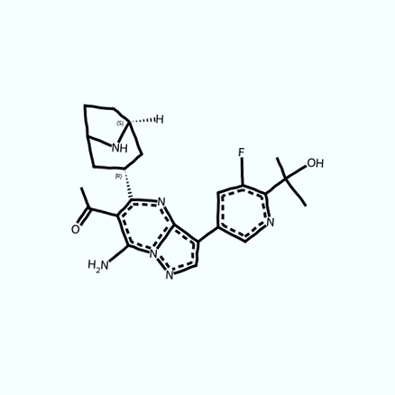 CC(=O)c1c([C@@H]2CC3CC[C@@H](C2)N3)nc2c(-c3cnc(C(C)(C)O)c(F)c3)cnn2c1N